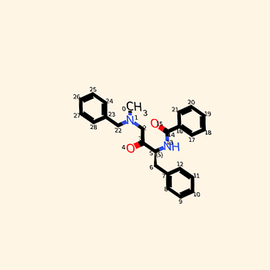 CN(CC(=O)[C@H](Cc1ccccc1)NC(=O)c1ccccc1)Cc1ccccc1